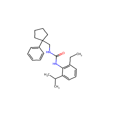 CCc1cccc(C(C)C)c1NC(=O)NCC1(c2ccccc2)CCCC1